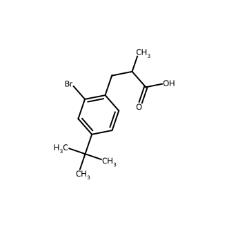 CC(Cc1ccc(C(C)(C)C)cc1Br)C(=O)O